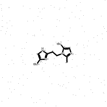 Cc1ncc(C(C)(C)C)n1CCc1nc(C(C)(C)C)c[nH]1